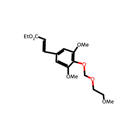 CCOC(=O)C=Cc1cc(OC)c(OCOCCOC)c(OC)c1